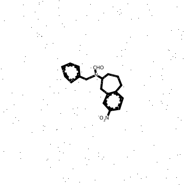 O=CN(Cc1ccccc1)C1CCCc2ccc([N+](=O)[O-])cc2C1